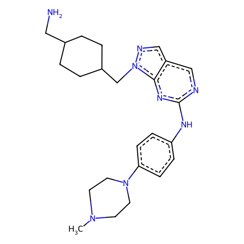 CN1CCN(c2ccc(Nc3ncc4cnn(CC5CCC(CN)CC5)c4n3)cc2)CC1